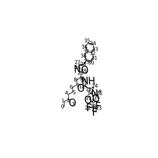 CCC(=O)CCCCC[C@H](NC(=O)C1C[N+](C)(OC(=O)C(F)(F)F)C1)c1ncc(-c2ccc3ccccc3c2)o1